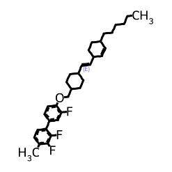 CCCCCCC1C=CC(/C=C/C2CCC(COc3ccc(-c4ccc(C)c(F)c4F)cc3F)CC2)CC1